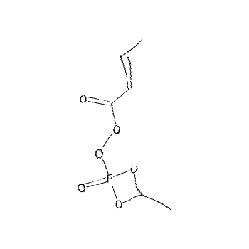 CC=CC(=O)OOP1(=O)OC(C)O1